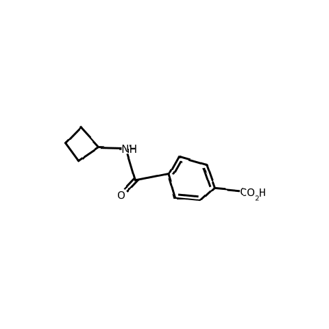 O=C(O)c1ccc(C(=O)NC2CCC2)cc1